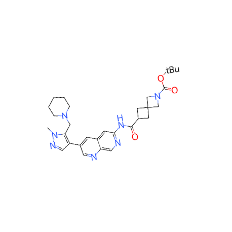 Cn1ncc(-c2cnc3cnc(NC(=O)C4CC5(C4)CN(C(=O)OC(C)(C)C)C5)cc3c2)c1CN1CCCCC1